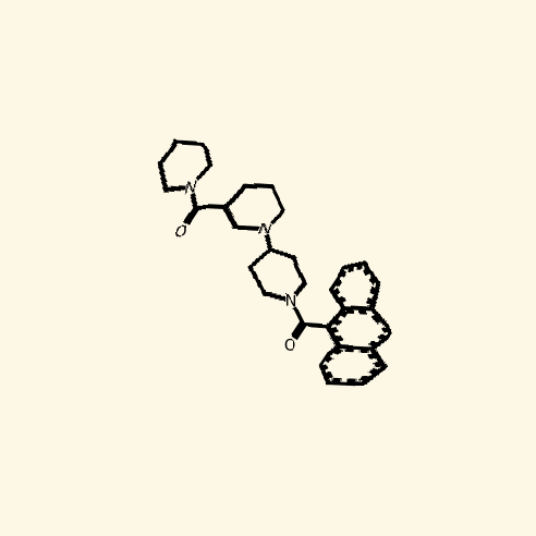 O=C(c1c2ccccc2cc2ccccc12)N1CCC(N2CCCC(C(=O)N3CCCCC3)C2)CC1